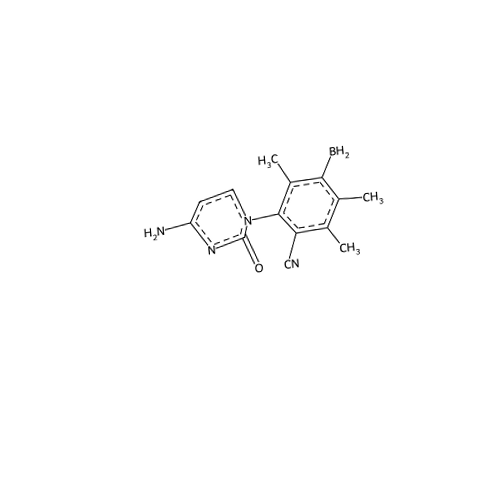 Bc1c(C)c(C)c(C#N)c(-n2ccc(N)nc2=O)c1C